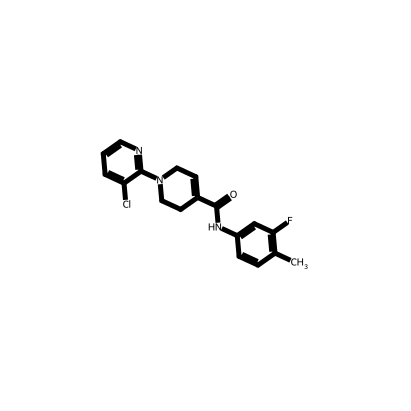 Cc1ccc(NC(=O)C2=CCN(c3ncccc3Cl)CC2)cc1F